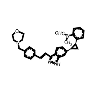 CN(C=O)c1ccccc1[C@H]1C[C@H]1c1ccc2c(/C=C/c3ccc(CN4CCOCC4)cc3)n[nH]c2c1